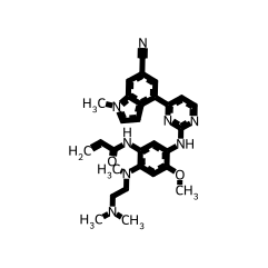 C=CC(=O)Nc1cc(Nc2nccc(-c3cc(C#N)cc4c3ccn4C)n2)c(OC)cc1N(C)CCN(C)C